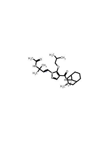 CC(=O)NC(C)(C)/C=C/n1ncc(C(=O)N[C@]2(N)C3CCCC2C[C@H](C)C3)c1OCC(C)C